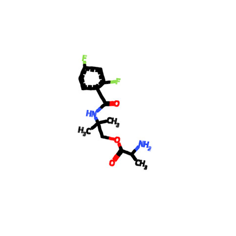 CC(N)C(=O)OCC(C)(C)NC(=O)c1ccc(F)cc1F